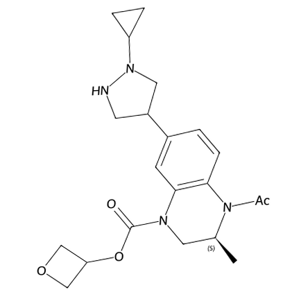 CC(=O)N1c2ccc(C3CNN(C4CC4)C3)cc2N(C(=O)OC2COC2)C[C@@H]1C